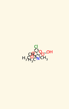 Cc1nc(C)c(C(=O)OC(C)C)c(-c2ccc(Cl)cc2)c1C(=O)OCCO